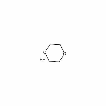 C1COCCO1.[HH]